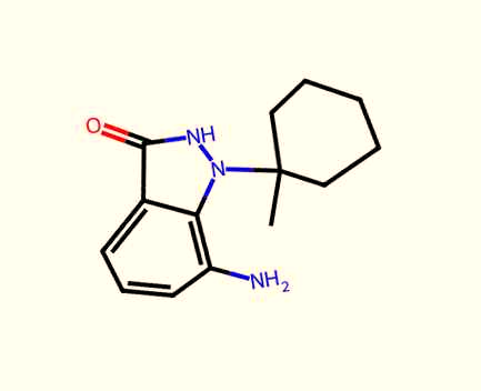 CC1(n2[nH]c(=O)c3cccc(N)c32)CCCCC1